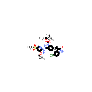 CCOc1cc(S(C)(=O)=O)cnc1Nc1nn(C(=O)OC(C)(C)C)c2cc([C@@H]3C[C@@]34C(=O)Nc3ccc(Cl)cc34)ccc12